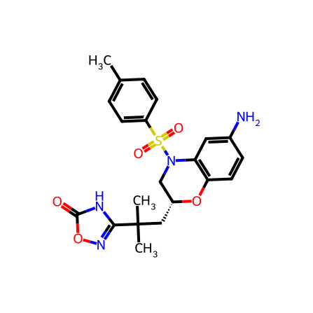 Cc1ccc(S(=O)(=O)N2C[C@@H](CC(C)(C)c3noc(=O)[nH]3)Oc3ccc(N)cc32)cc1